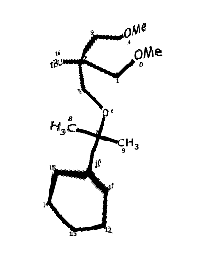 COCC(COC)(COC(C)(C)C1CCCCC1)C(C)(C)C